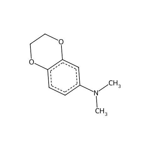 CN(C)c1ccc2c(c1)OCCO2